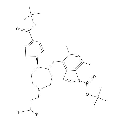 Cc1cc(C)c2c(ccn2C(=O)OC(C)(C)C)c1C[C@@H]1CCN(CCC(F)F)CC[C@H]1c1ccc(C(=O)OC(C)(C)C)cc1